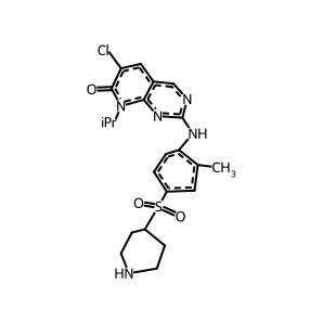 Cc1cc(S(=O)(=O)C2CCNCC2)ccc1Nc1ncc2cc(Cl)c(=O)n(C(C)C)c2n1